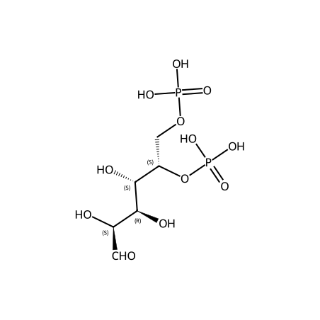 O=C[C@@H](O)[C@H](O)[C@H](O)[C@H](COP(=O)(O)O)OP(=O)(O)O